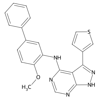 COc1ccc(-c2ccccc2)cc1Nc1ncnc2[nH]nc(-c3ccsc3)c12